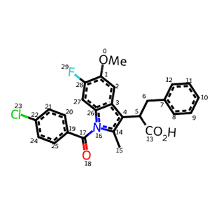 COc1cc2c(C(Cc3ccccc3)C(=O)O)c(C)n(C(=O)c3ccc(Cl)cc3)c2cc1F